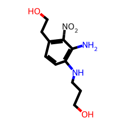 Nc1c(NCCCO)ccc(CCO)c1[N+](=O)[O-]